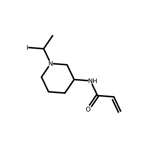 C=CC(=O)NC1CCCN(C(C)I)C1